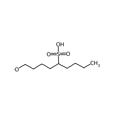 CCCCC(CCCC[O])S(=O)(=O)O